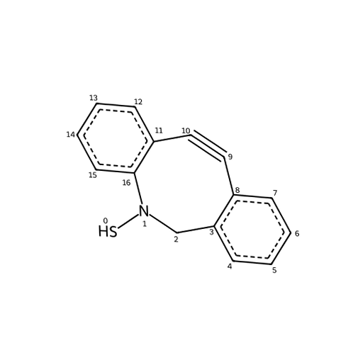 SN1Cc2ccccc2C#Cc2ccccc21